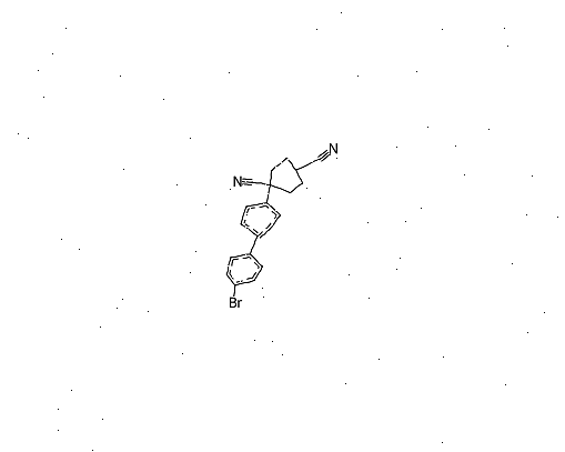 N#CC1CCC(C#N)(c2ccc(-c3ccc(Br)cc3)cc2)CC1